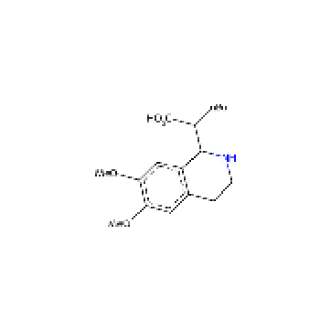 CCCCC(C(=O)O)C1NCCc2cc(OC)c(OC)cc21